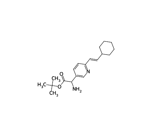 CC(C)(C)OC(=O)C(N)c1ccc(/C=C/C2CCCCC2)nc1